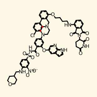 O=C1CCC(N2C(=O)c3cccc(NCCCCOc4cccc(-c5ccc(Cl)cc5)c4CN4CCN(c5ccc(C(=O)NS(=O)(=O)c6ccc(NCC7CCOCC7)c([N+](=O)[O-])c6)c(Oc6cnc7[nH]ccc7c6)c5)CC4)c3C2=O)C(=O)N1